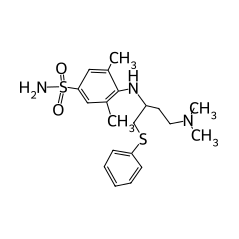 Cc1cc(S(N)(=O)=O)cc(C)c1NC(CCN(C)C)CSc1ccccc1